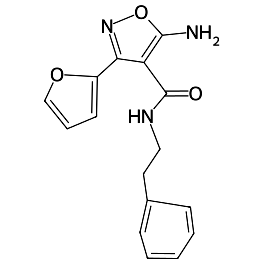 Nc1onc(-c2ccco2)c1C(=O)NCCc1ccccc1